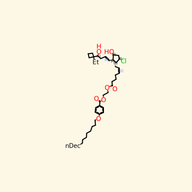 CCCCCCCCCCCCCCCCCCOc1ccc(C(=O)OCCOC(=O)CCC/C=C\C[C@@H]2[C@@H](/C=C/C[C@H](O)C3(CC)CCC3)[C@H](O)C[C@H]2Cl)cc1